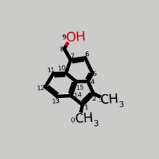 CC1=C(C)c2ccc(CO)c3cccc1c23